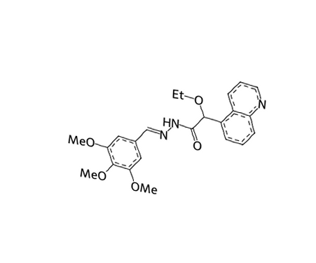 CCOC(C(=O)N/N=C/c1cc(OC)c(OC)c(OC)c1)c1cccc2ncccc12